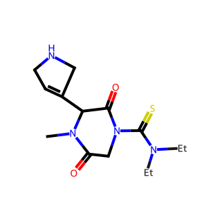 CCN(CC)C(=S)N1CC(=O)N(C)C(C2=CCNC2)C1=O